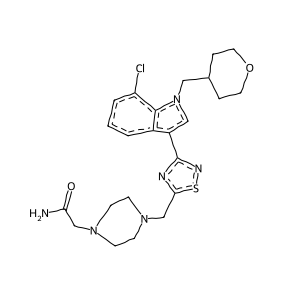 NC(=O)CN1CCN(Cc2nc(-c3cn(CC4CCOCC4)c4c(Cl)cccc34)ns2)CC1